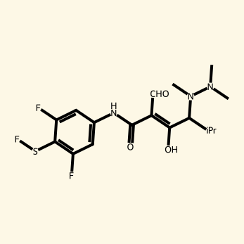 CC(C)C(/C(O)=C(\C=O)C(=O)Nc1cc(F)c(SF)c(F)c1)N(C)N(C)C